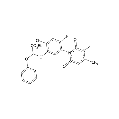 CCOC(=O)C(Oc1ccccc1)Oc1cc(-n2c(=O)cc(C(F)(F)F)n(C)c2=O)c(F)cc1Cl